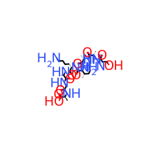 CC[C@H](C)[C@H](NC(=O)[C@H](C)NC(=O)[C@H](C)NC(=O)[C@@H](N)CO)C(=O)N[C@@H](CCCCN)C(=O)N[C@@H](C)C(=O)NCC(=O)N[C@@H](C)C(=O)O